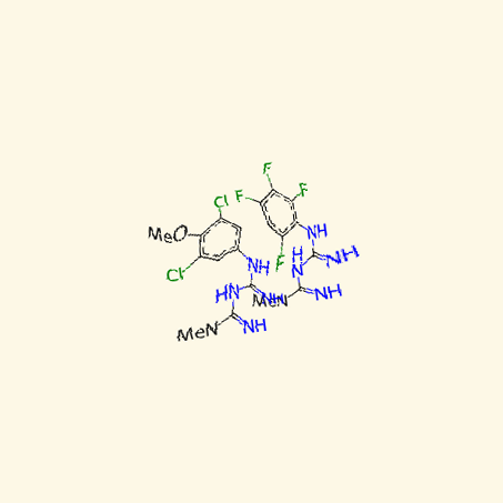 CNC(=N)NC(=N)Nc1c(F)cc(F)c(F)c1F.CNC(=N)NC(=N)Nc1cc(Cl)c(OC)c(Cl)c1